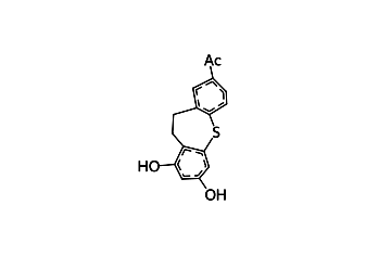 CC(=O)c1ccc2c(c1)CCc1c(O)cc(O)cc1S2